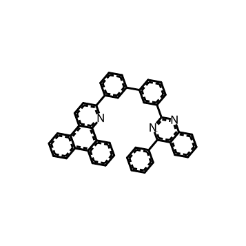 c1ccc(-c2nc(-c3cccc(-c4cccc(-c5ccc6c7ccccc7c7ccccc7c6n5)c4)c3)nc3ccccc23)cc1